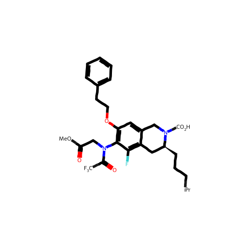 COC(=O)CN(C(=O)C(F)(F)F)c1c(OCCc2ccccc2)cc2c(c1F)C[C@H](CCCC(C)C)N(C(=O)O)C2